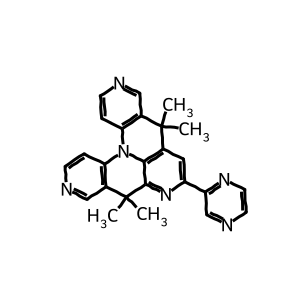 CC1(C)c2cnccc2N2c3ccncc3C(C)(C)c3nc(-c4cnccn4)cc1c32